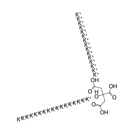 O=C(O)CC(O)(CC(=O)O)C(=O)O.[K+].[K+].[K+].[K+].[K+].[K+].[K+].[K+].[K+].[K+].[K+].[K+].[K+].[K+].[K+].[K+].[K+].[K+].[K+].[K+].[K+].[K+].[K+].[K+].[K+].[K+].[K+].[K+].[K+].[K+].[K+].[K+]